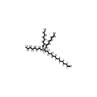 C=CCCCCCCCCCCCC[Si](CCCCCCCC)(CCCCCCCC)CCCCCCCC